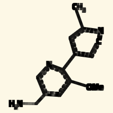 COc1cc(CN)cnc1-c1ccnc(C)c1